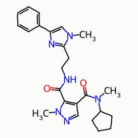 CN(C(=O)c1cnn(C)c1C(=O)NCCc1nc(-c2ccccc2)cn1C)C1CCCC1